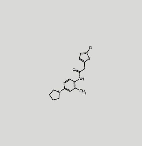 Cc1cc(N2CCCC2)ccc1NC(=O)Cc1ccc(Cl)s1